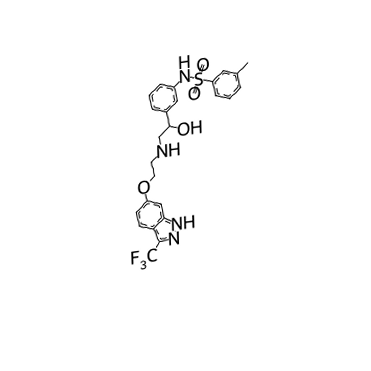 Cc1cccc(S(=O)(=O)Nc2cccc(C(O)CNCCOc3ccc4c(C(F)(F)F)n[nH]c4c3)c2)c1